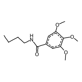 CCCCNC(=O)c1cc(OC)c(OC)c(OC)c1